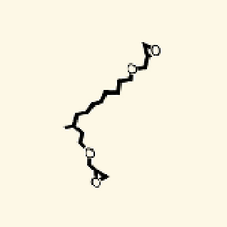 CC(CCCCCCCCOCC1CO1)CCOCC1CO1